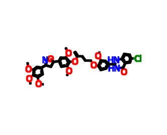 C=C(CCCOc1ccc(C2NC(=O)c3cc(Cl)ccc3N2)cc1OC)Oc1c(OC)cc(C2CC(c3cc(OC)c(OC)c(OC)c3)=NO2)cc1OC